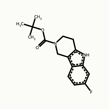 CC(C)(C)OC(=O)N1CCc2[nH]c3cc(F)ccc3c2C1